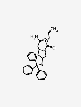 C=CCOC(=O)N1CC(SC(c2ccccc2)(c2ccccc2)c2ccccc2)CC1CC(N)=O